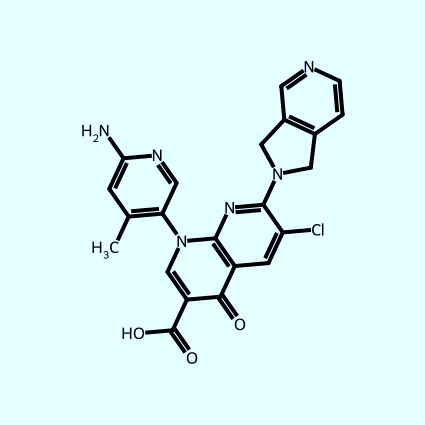 Cc1cc(N)ncc1-n1cc(C(=O)O)c(=O)c2cc(Cl)c(N3Cc4ccncc4C3)nc21